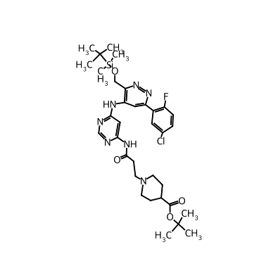 CC(C)(C)OC(=O)C1CCN(CCC(=O)Nc2cc(Nc3cc(-c4cc(Cl)ccc4F)nnc3CO[Si](C)(C)C(C)(C)C)ncn2)CC1